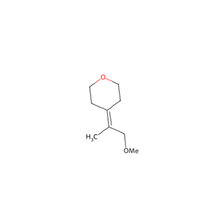 COCC(C)=C1CCOCC1